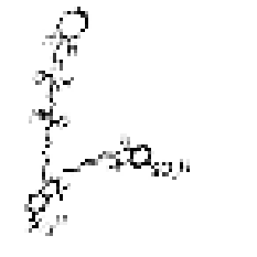 CN1/C(=C/C=C/C=C/C2=[N+](CCCCCC(=O)NCCNC(=O)OC[C@@H]3[C@@H]4CCC#CCC[C@@H]43)c3ccc(S(=O)(=O)O)cc3C2(C)C)C(C)(C)c2cc(S(=O)(=O)O)ccc21